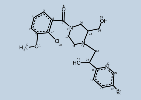 COc1cccc(C(=O)N2CCN(CC(O)c3ccc(Br)cn3)C(CO)C2)c1Cl